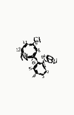 CC(C)(C)c1ccccc1-c1cc(Cl)ccn1